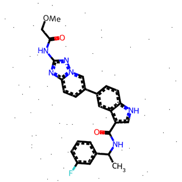 COCC(=O)Nc1nc2ccc(-c3ccc4[nH]cc(C(=O)NC(C)c5cccc(F)c5)c4c3)cn2n1